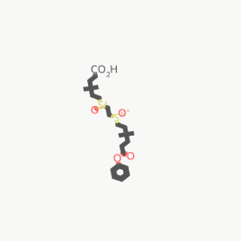 CC(C)(CCC(=O)O)CC[S+]([O-])CC[S+]([O-])CCC(C)(C)CCC(=O)Oc1ccccc1